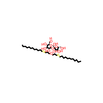 CCCCCCCCCCCCSCCCOCCCSCCCCCCCCCCCC.OC[C@H]1O[C@@](CO)(O[C@H]2O[C@H](CO)[C@@H](O)[C@H](O)[C@H]2O)[C@@H](O)[C@@H]1O